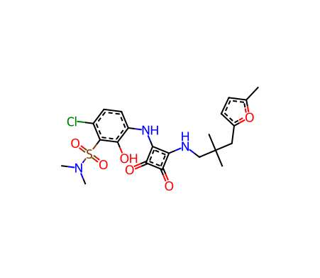 Cc1ccc(CC(C)(C)CNc2c(Nc3ccc(Cl)c(S(=O)(=O)N(C)C)c3O)c(=O)c2=O)o1